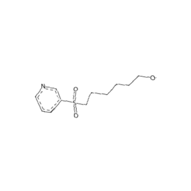 [O]CCCCCCS(=O)(=O)c1cccnc1